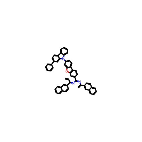 C=C/C(=N\C(=N/C(=C)c1ccc2ccccc2c1)c1ccc2c(c1)oc1cc(-n3c4ccccc4c4ccc(-c5ccccc5)cc43)ccc12)c1ccc2ccccc2c1